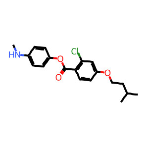 CNc1ccc(OC(=O)c2ccc(OCCC(C)C)cc2Cl)cc1